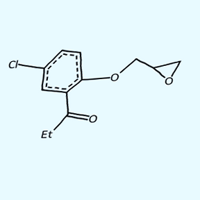 CCC(=O)c1cc(Cl)ccc1OCC1CO1